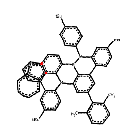 Cc1cccc(C)c1-c1cc2c3c(c1)N(c1ccc(C(C)(C)C)cc1-c1ccccc1)c1c(ccc4sc5ccccc5c14)B3N(c1ccc(C(C)(C)C)cc1)c1cc(C(C)(C)C)ccc1-2